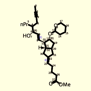 CC#CCC(CCC)[C@@H](O)/C=C/[C@H]1[C@H](OC2CCCCO2)CC2C/C(=C\CCCC(=O)OC)C[C@@H]21